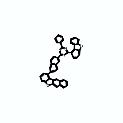 c1ccc(-c2nc(-c3ccc4cc(-c5cccc6oc7cc8ccccc8cc7c56)ccc4c3)nc(-c3cccc4oc5ccccc5c34)n2)cc1